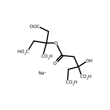 O=C([O-])CC(CC(=O)O)(OC(=O)CC(O)(CC(=O)O)C(=O)O)C(=O)O.[Na+]